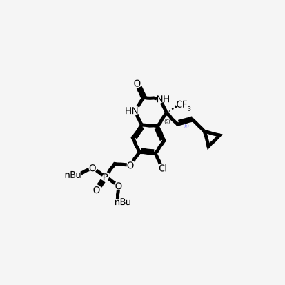 CCCCOP(=O)(COc1cc2c(cc1Cl)[C@@](/C=C/C1CC1)(C(F)(F)F)NC(=O)N2)OCCCC